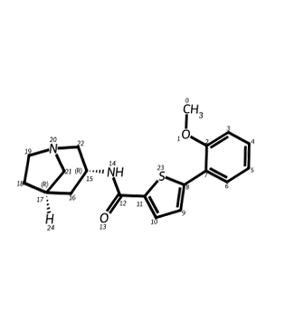 COc1ccccc1-c1ccc(C(=O)N[C@@H]2C[C@H]3CCN(C3)C2)s1